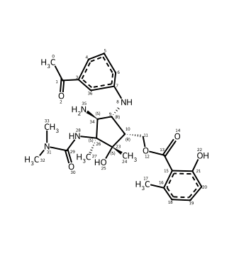 CC(=O)c1cccc(N[C@@H]2[C@H](COC(=O)c3c(C)cccc3O)[C@](C)(O)[C@@](C)(NC(=O)N(C)C)[C@H]2N)c1